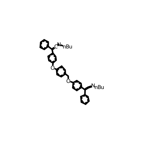 CCCCN=C=C(c1ccccc1)c1ccc(OCc2ccc(Oc3ccc(C(=C=NCCCC)c4ccccc4)cc3)cc2)cc1